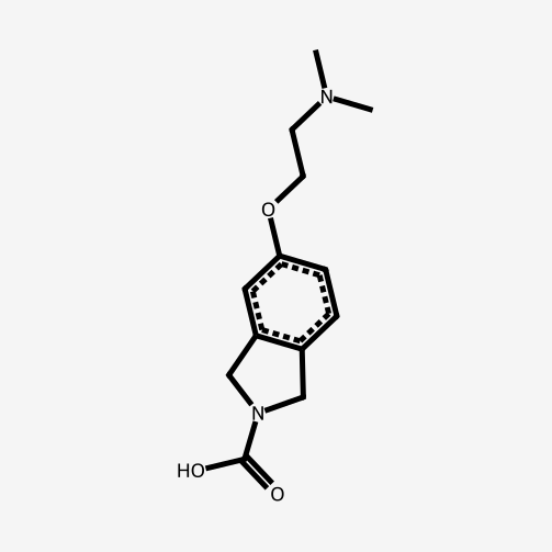 CN(C)CCOc1ccc2c(c1)CN(C(=O)O)C2